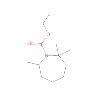 CCOC(=O)N1C(C)CCCCC1(C)C